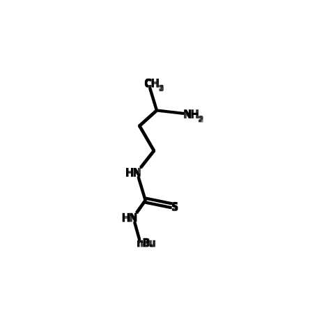 CCCCNC(=S)NCCC(C)N